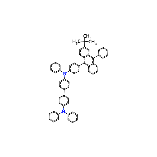 CC(C)(C)c1ccc2c(-c3ccc(N(c4ccccc4)c4ccc(-c5ccc(N(c6ccccc6)c6ccccc6)cc5)cc4)cc3)c3ccccc3c(-c3ccccc3)c2c1